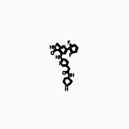 O=C(Cc1ccc(Nc2cc(-c3c(F)cccc3F)nc3c2C(=O)NC3)nc1)NC1CCNCC1